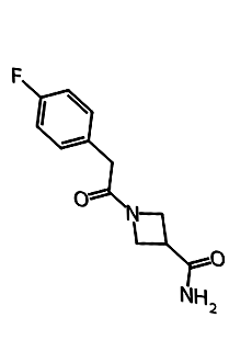 NC(=O)C1CN(C(=O)Cc2ccc(F)cc2)C1